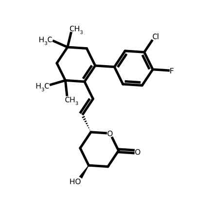 CC1(C)CC(c2ccc(F)c(Cl)c2)=C(C=C[C@H]2C[C@H](O)CC(=O)O2)C(C)(C)C1